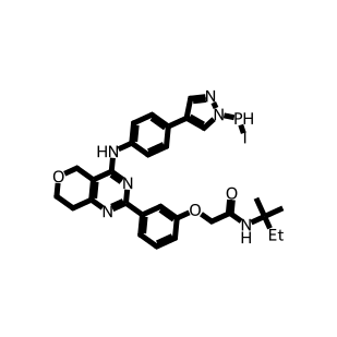 CCC(C)(C)NC(=O)COc1cccc(-c2nc3c(c(Nc4ccc(-c5cnn(PI)c5)cc4)n2)COCC3)c1